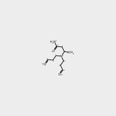 CC(CC(N)=O)N(CCC=O)CCC=O